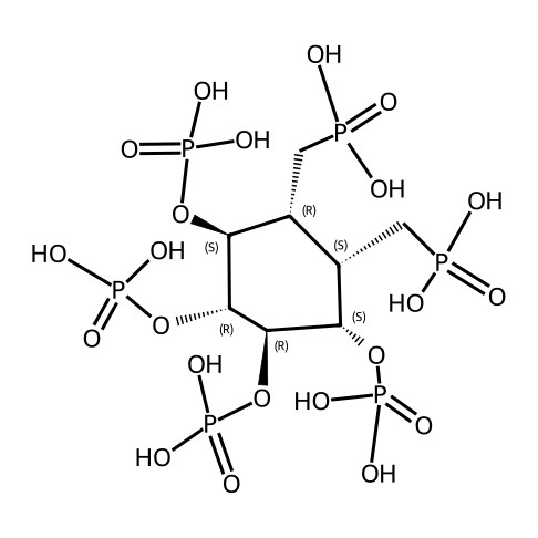 O=P(O)(O)C[C@@H]1[C@H](CP(=O)(O)O)[C@H](OP(=O)(O)O)[C@@H](OP(=O)(O)O)[C@H](OP(=O)(O)O)[C@H]1OP(=O)(O)O